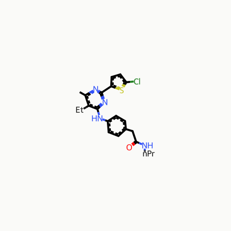 CCCNC(=O)Cc1ccc(Nc2nc(-c3ccc(Cl)s3)nc(C)c2CC)cc1